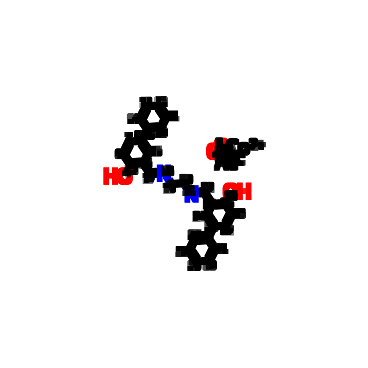 CC(=O)[O-].CC(=O)[O-].Oc1ccc(-c2ccccc2)cc1C=NCCN=Cc1cc(-c2ccccc2)ccc1O.[Co+2]